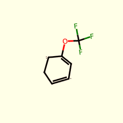 FC(F)(F)OC1=C[C]=CC[C]1